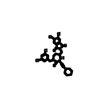 O=C1C(C#CN2CCCCC2)NC(CN2C(=O)c3cc(Cl)c(Cl)cc3C2=O)CCN1Cc1cc(Cl)cc(Cl)c1